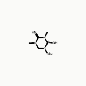 CCCCN1CN(C)C(=N)N(C)[C@H]1O